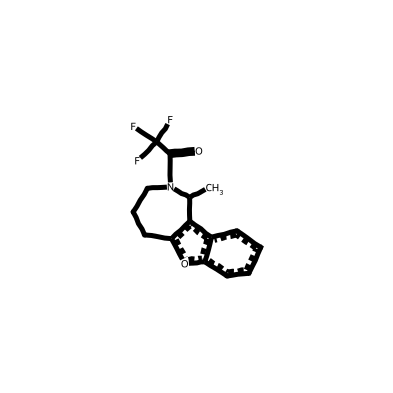 CC1c2c(oc3ccccc23)CCCN1C(=O)C(F)(F)F